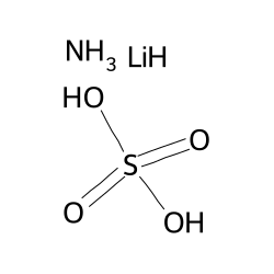 N.O=S(=O)(O)O.[LiH]